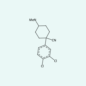 CNC1CCC(C#N)(c2ccc(Cl)c(Cl)c2)CC1